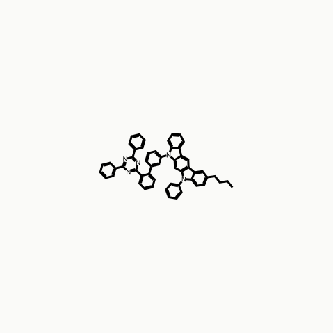 CCCCc1ccc2c(c1)c1cc3c4ccccc4n(-c4cccc(-c5ccccc5-c5nc(-c6ccccc6)nc(-c6ccccc6)n5)c4)c3cc1n2-c1ccccc1